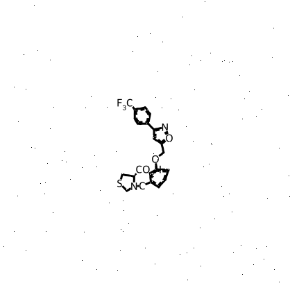 O=C(O)[C@@H]1CSCN1Cc1cccc(OCc2cc(-c3ccc(C(F)(F)F)cc3)no2)c1